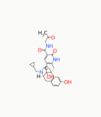 CC(=O)CNC(=O)c1cc2c([nH]c1=O)C[C@]13CCN(CC4CC4)[C@H](Cc4ccc(O)cc41)[C@]3(O)C2